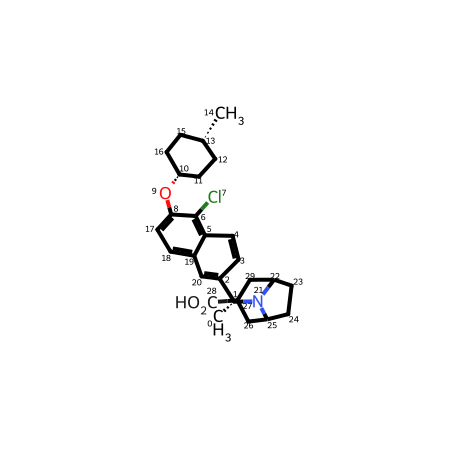 C[C@H](c1ccc2c(Cl)c(O[C@H]3CC[C@@H](C)CC3)ccc2c1)N1C2CCC1CC(C(=O)O)C2